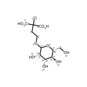 O=C(O)C(Cl)(CCOC1O[C@H](CO)[C@@H](O)[C@H](O)[C@@H]1O)C(=O)O